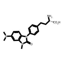 CN(C)c1ccc2c(c1)n(C)c(=O)n2-c1ccc(CC[C@H](N)C(=O)O)cc1